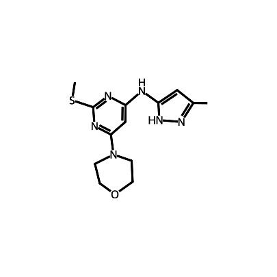 CSc1nc(Nc2cc(C)n[nH]2)cc(N2CCOCC2)n1